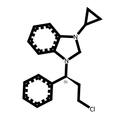 ClCC[C@@H](c1ccccc1)N1[CH]N(C2CC2)c2ccccc21